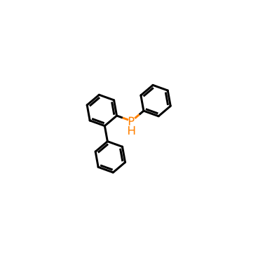 c1ccc(Pc2ccccc2-c2ccccc2)cc1